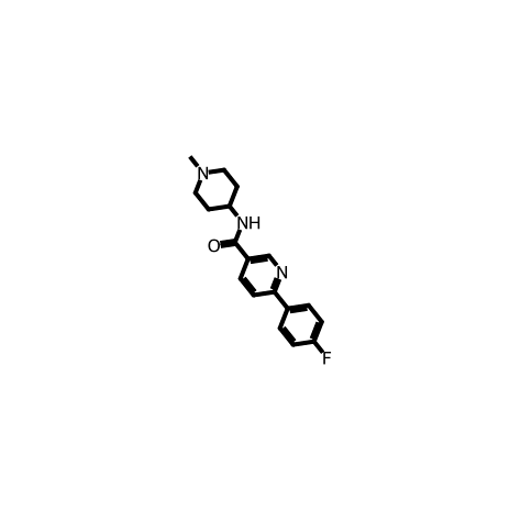 CN1CCC(NC(=O)c2ccc(-c3ccc(F)cc3)nc2)CC1